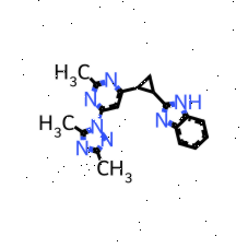 Cc1nc(C2CC2c2nc3ccccc3[nH]2)cc(-n2nc(C)nc2C)n1